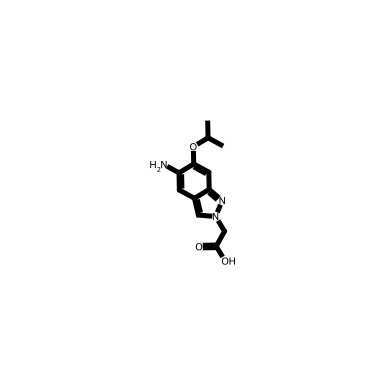 CC(C)Oc1cc2nn(CC(=O)O)cc2cc1N